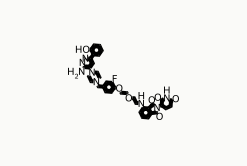 Nc1nnc(-c2ccccc2O)cc1N1CCN(Cc2ccc(OCCOCCNc3cccc4c3C(=O)N(C3CCC(=O)NC3=O)C4=O)c(F)c2)CC1